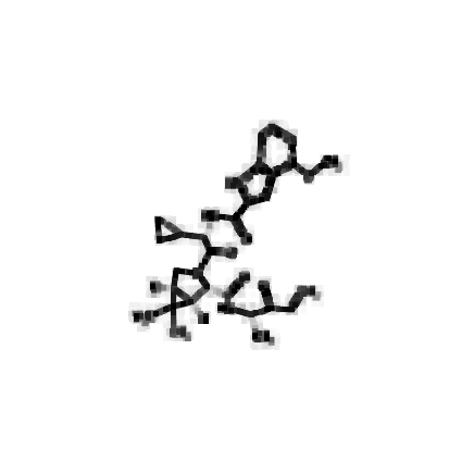 C=CC(=O)[C@H](C)NC(=O)[C@@H]1[C@@H]2[C@H](CN1C(=O)[C@@H](NC(=O)c1cc3c(OC)cccc3[nH]1)C1CC1)C2(C)C